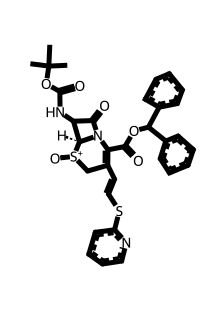 CC(C)(C)OC(=O)NC1C(=O)N2C(C(=O)OC(c3ccccc3)c3ccccc3)=C(C=CSc3ccccn3)C[S+]([O-])[C@@H]12